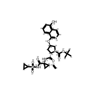 C=C[C@@H]1C[C@]1(NC(=O)[C@@H]1C[C@@H](Oc2nccc3c(O)cccc23)CN1C(=O)OC(C)(C)C)C(=O)NS(=O)(=O)C1CC1